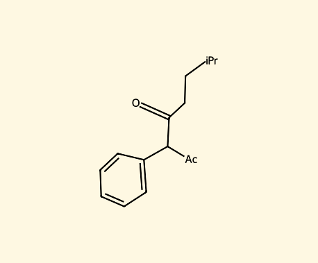 CC(=O)C(C(=O)CCC(C)C)c1ccccc1